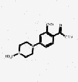 COC(=O)c1ccc(N2CCN(C(=O)O)CC2)cc1C=O